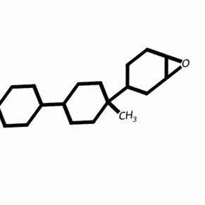 CC1(C2CCC3OC3C2)CCC(C2CCCCC2)CC1